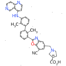 Cc1c(Nc2ccnc3ccncc23)cccc1-c1cccc(-c2nc3cc(CN4CC[C@@H](C(=O)O)C4)cc(C#N)c3o2)c1C